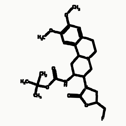 COc1cc2c(cc1OC)C1CC(NC(=O)OC(C)(C)C)C(N3CC(CF)OC3=O)CN1CC2